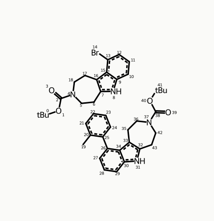 CC(C)(C)OC(=O)N1CCc2[nH]c3cccc(Br)c3c2CC1.Cc1ccccc1-c1cccc2[nH]c3c(c12)CCN(C(=O)OC(C)(C)C)CC3